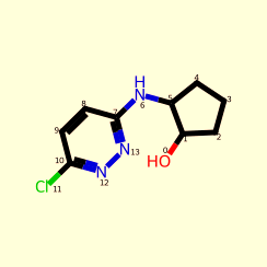 OC1CCCC1Nc1ccc(Cl)nn1